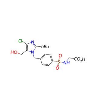 CCCCc1nc(Cl)c(CO)n1Cc1ccc(S(=O)(=O)NCC(=O)O)cc1